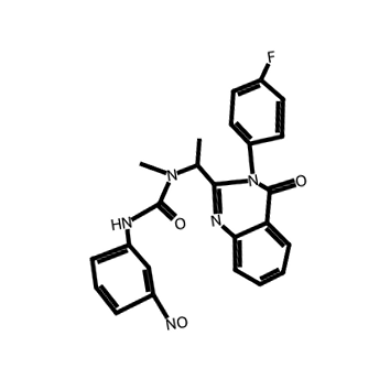 CC(c1nc2ccccc2c(=O)n1-c1ccc(F)cc1)N(C)C(=O)Nc1cccc(N=O)c1